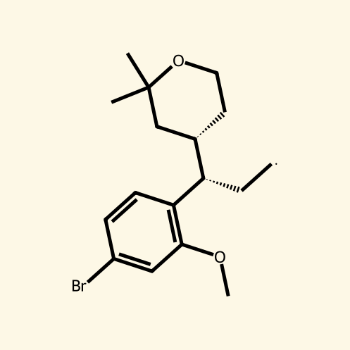 [CH2]C[C@H](c1ccc(Br)cc1OC)[C@H]1CCOC(C)(C)C1